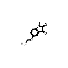 CCOc1ccc2c(c1)C(=O)C(=O)N2